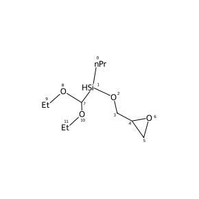 CCC[SiH](OCC1CO1)C(OCC)OCC